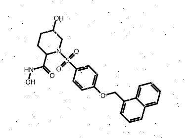 O=C(NO)C1CCC(O)CN1S(=O)(=O)c1ccc(OCc2cccc3ccccc23)cc1